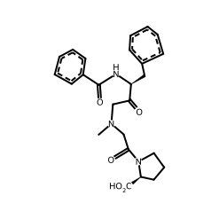 CN(CC(=O)[C@H](Cc1ccccc1)NC(=O)c1ccccc1)CC(=O)N1CCC[C@H]1C(=O)O